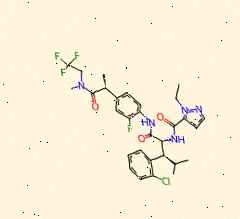 CCn1nccc1C(=O)N[C@H](C(=O)Nc1ccc([C@H](C)C(=O)N(C)CC(F)(F)F)cc1F)[C@H](c1ccccc1Cl)C(C)C